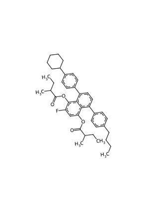 CCCCc1ccc(-c2ccc(-c3ccc(C4CCCCC4)cc3)c3c(OC(=O)C(C)CC)c(F)cc(OC(=O)C(C)CC)c23)cc1